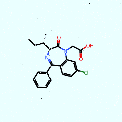 CC[C@H](C)[C@@H]1N=C(c2ccccc2)c2ccc(Cl)cc2N(CC(=O)O)C1=O